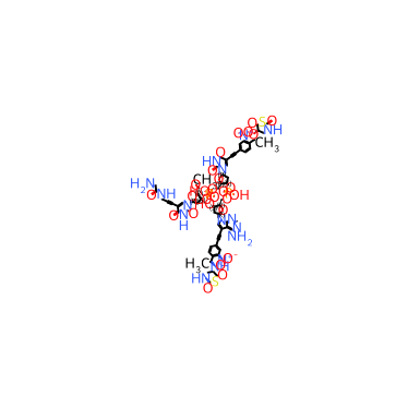 COC[C@H]1O[C@@H](n2cc(C#CCNC(=O)CN)c(=O)[nH]c2=O)C[C@@H]1OP(=O)(O)OC[C@H]1O[C@@H](n2cc(C#Cc3ccc(C(C)OC4CNC(=O)SC4=O)c([N+](=O)[O-])c3)c(=O)[nH]c2=O)C[C@@H]1OP(=O)(O)OC[C@H]1O[C@@H](n2cc(C#Cc3ccc(C(C)NC4CNC(=O)SC4=O)c([N+](=O)[O-])c3)c3c(N)ncnc32)C[C@@H]1O